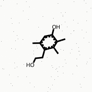 Cc1cc(O)c(C)c(C)c1CCO